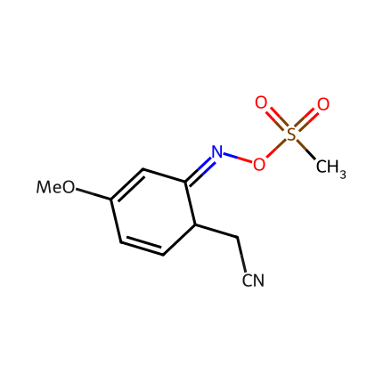 COC1=CC(=NOS(C)(=O)=O)C(CC#N)C=C1